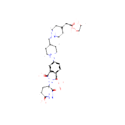 O=C1CCC(N2C(=O)c3ccc(N4CCC(CN5CCC(CC6OCCO6)CC5)CC4)cc3C2=O)C(=O)N1